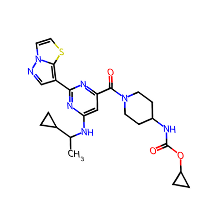 CC(Nc1cc(C(=O)N2CCC(NC(=O)OC3CC3)CC2)nc(-c2cnn3ccsc23)n1)C1CC1